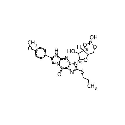 CCCSc1nc2c(=O)n3cc(-c4ccc(OC)cc4)[nH]c3nc2n1[C@@H]1OC2COP(O)O[C@H]2C1O